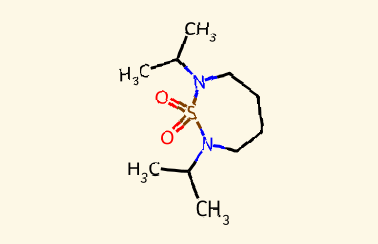 CC(C)N1CCCCN(C(C)C)S1(=O)=O